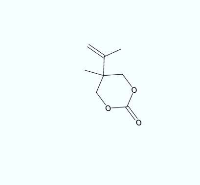 C=C(C)C1(C)COC(=O)OC1